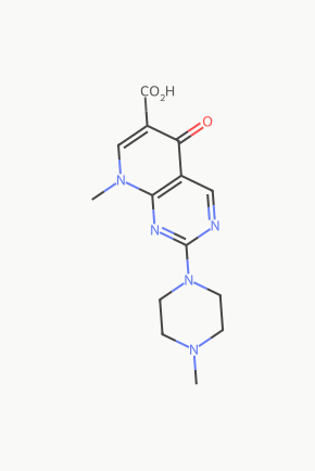 CN1CCN(c2ncc3c(=O)c(C(=O)O)cn(C)c3n2)CC1